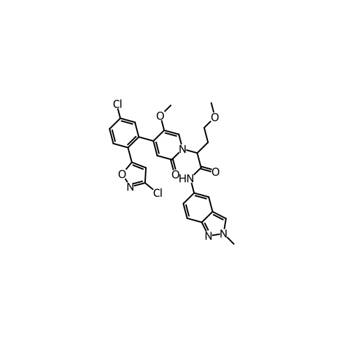 COCCC(C(=O)Nc1ccc2nn(C)cc2c1)n1cc(OC)c(-c2cc(Cl)ccc2-c2cc(Cl)no2)cc1=O